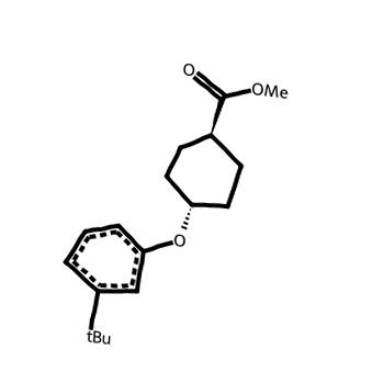 COC(=O)[C@H]1CC[C@H](Oc2cccc(C(C)(C)C)c2)CC1